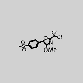 COC1N=C(C(Cl)Cl)OC1c1ccc(S(C)(=O)=O)cc1